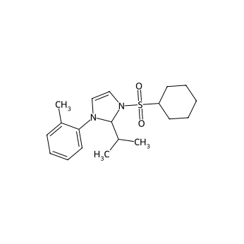 Cc1ccccc1N1C=CN(S(=O)(=O)C2CCCCC2)C1C(C)C